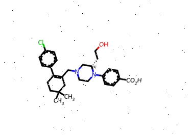 CC1(C)CCC(c2ccc(Cl)cc2)=C(CN2CCN(c3ccc(C(=O)O)cc3)[C@@H](CCO)C2)C1